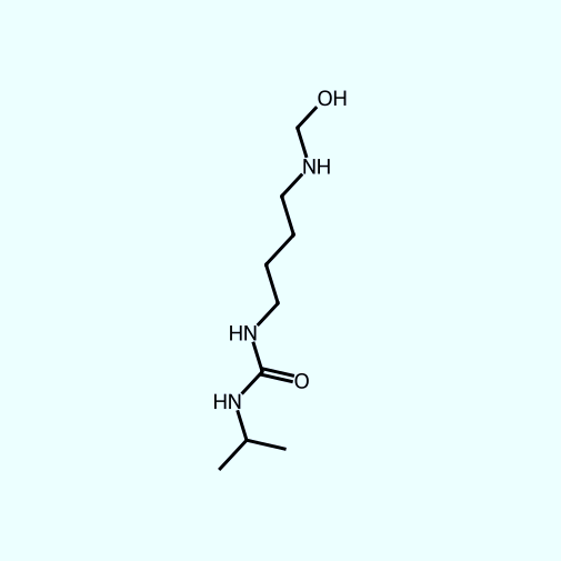 CC(C)NC(=O)NCCCCNCO